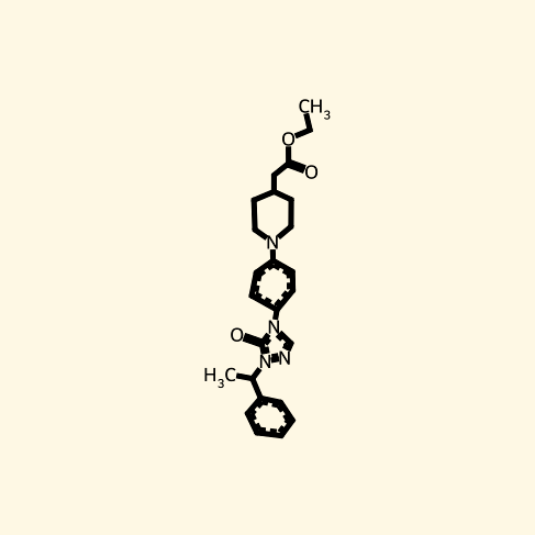 CCOC(=O)CC1CCN(c2ccc(-n3cnn(C(C)c4ccccc4)c3=O)cc2)CC1